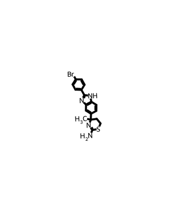 CC1(c2ccc3[nH]c(-c4ccc(Br)cc4)nc3c2)CCSC(N)=N1